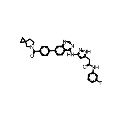 O=C(Cc1cc(Nc2ncnc3cc(-c4ccc(C(=O)N5CCC6(CC6)C5)cc4)ccc23)n[nH]1)Nc1cccc(F)c1